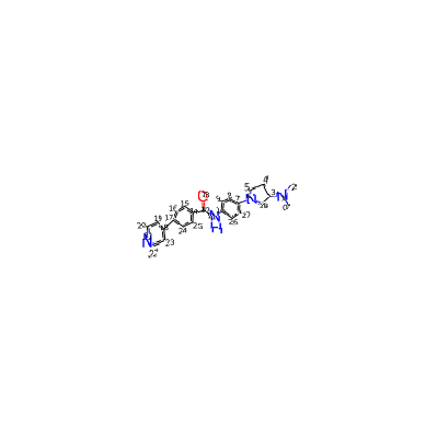 CN(C)C1CCN(c2ccc(NC(=O)c3ccc(-c4ccncc4)cc3)cc2)C1